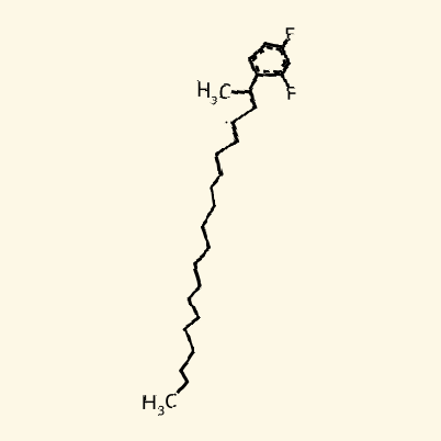 CCCCCCCCCCCCCCCC[CH]CC(C)c1ccc(F)cc1F